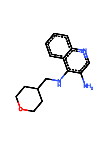 Nc1cnc2ccccc2c1NCC1CCOCC1